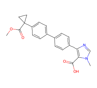 COC(=O)C1(c2ccc(-c3ccc(-c4ncn(C)c4C(=O)O)cc3)cc2)CC1